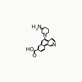 N[C@@H]1CCCN(c2cc3cc(C(=O)O)ccc3c3cnccc23)C1